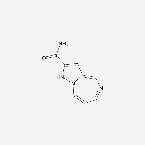 NC(=O)C1=CC2=CN=CC=CN2N1